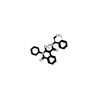 CC[C@H](NC(=O)c1c(C)n(C2CCCCC2)c(=O)c2ccccc12)c1ccccc1